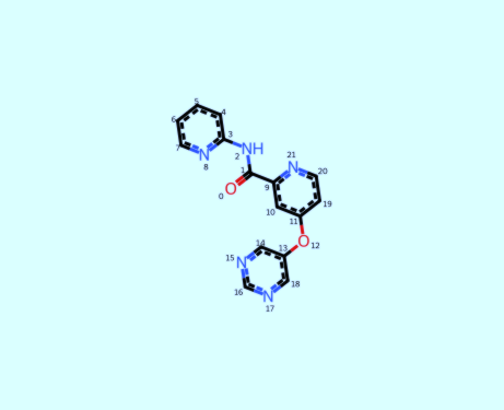 O=C(Nc1ccccn1)c1cc(Oc2cncnc2)ccn1